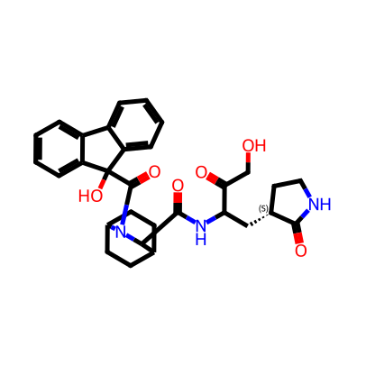 O=C(CO)C(C[C@@H]1CCNC1=O)NC(=O)C1C2CCC(CC2)N1C(=O)C1(O)c2ccccc2-c2ccccc21